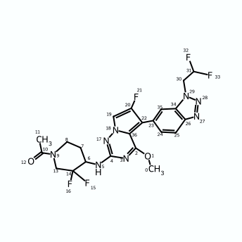 COc1nc(NC2CCN(C(C)=O)CC2(F)F)nn2cc(F)c(-c3ccc4nnn(CC(F)F)c4c3)c12